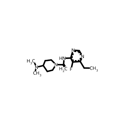 C=C(Nc1ncnc(CC)c1F)N1CCC(N(C)C)CC1